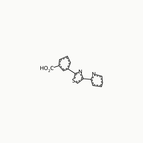 O=C(O)c1cccc(-c2nc(-c3ccccn3)cs2)c1